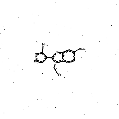 COc1ccc2c(c1)nc(-c1c[nH]nc1N)n2CC(C)C